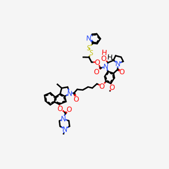 COc1cc2c(cc1OCCCCCC(=O)N1CC(C)c3c1cc(OC(=O)N1CCN(C)CC1)c1ccccc31)N(C(=O)OCC(C)SSc1ccccn1)C(O)[C@@H]1CCCN1C2=O